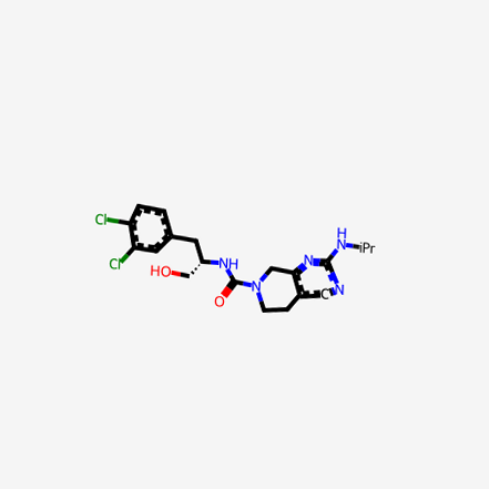 CC(C)Nc1ncc2c(n1)CN(C(=O)N[C@H](CO)Cc1ccc(Cl)c(Cl)c1)CC2